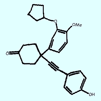 COc1ccc(C2(C#Cc3ccc(O)cc3)CCC(=O)CC2)cc1OC1CCCC1